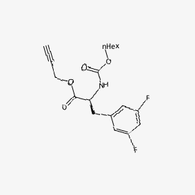 C#CCOC(=O)[C@H](Cc1cc(F)cc(F)c1)NC(=O)OCCCCCC